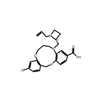 C=CCN1CC[C@H]1CN1CCCOc2cc(Cl)ccc2COc2ccc(C(=O)O)cc21